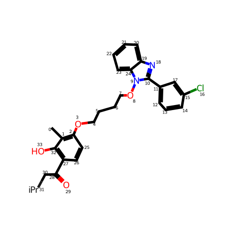 Cc1c(OCCCCOn2c(-c3cccc(Cl)c3)nc3ccccc32)ccc(C(=O)CC(C)C)c1O